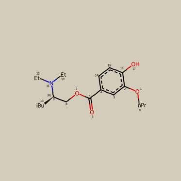 CCCOc1cc(C(=O)OC[C@@H](C(C)CC)N(CC)CC)ccc1O